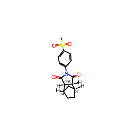 CS(=O)(=O)c1ccc(N2C(=O)[C@@H]3[C@@H]4CC[C@@H](C4)[C@@H]3C2=O)cc1